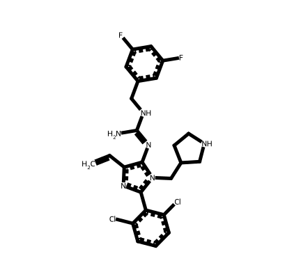 C=Cc1nc(-c2c(Cl)cccc2Cl)n(CC2CCNC2)c1/N=C(\N)NCc1cc(F)cc(F)c1